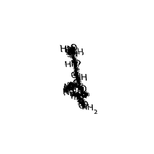 Cc1ccc(-c2cc(C(F)(F)F)nn2-c2ccc(S(N)(=O)=O)cc2)c(OC(=O)[C@@H](CCCCNC(=O)CCCCCNC(=O)CCCC[C@@H]2SC[C@@H]3NC(=O)N[C@H]32)NC(=O)c2ccc(N=[N+]=[N-])cc2)c1